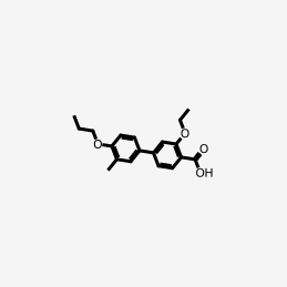 CCCOc1ccc(-c2ccc(C(=O)O)c(OCC)c2)cc1C